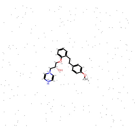 COc1ccc(CCc2ccccc2OC[C@H](O)CN2C=CNC=C2)cc1